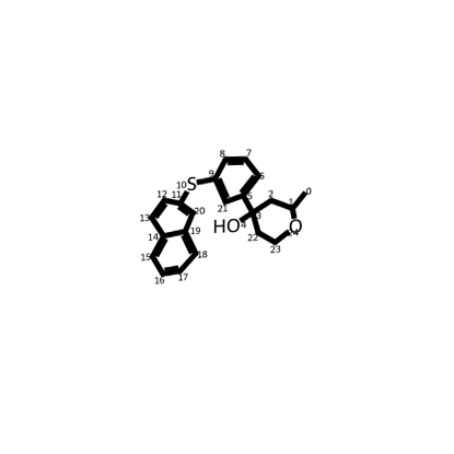 CC1CC(O)(c2cccc(Sc3ccc4ccccc4c3)c2)CCO1